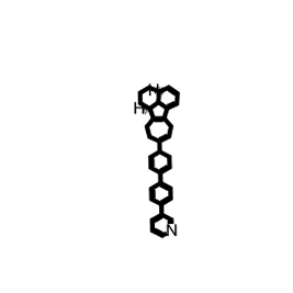 C1=C[C@H]2CCC[C@H]3C4=C(CC=C(C5C=CC(c6ccc(-c7cccnc7)cc6)=CC5)CC4)C(=C1)C23